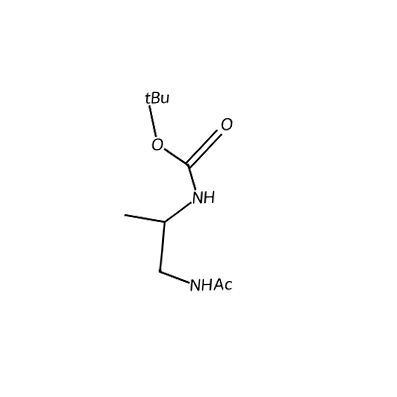 CC(=O)NCC(C)NC(=O)OC(C)(C)C